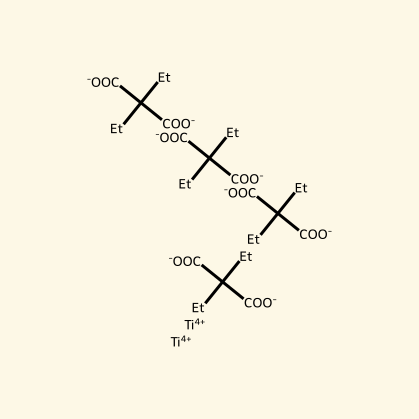 CCC(CC)(C(=O)[O-])C(=O)[O-].CCC(CC)(C(=O)[O-])C(=O)[O-].CCC(CC)(C(=O)[O-])C(=O)[O-].CCC(CC)(C(=O)[O-])C(=O)[O-].[Ti+4].[Ti+4]